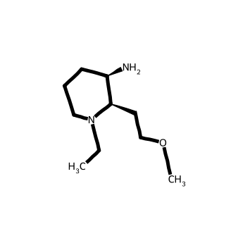 CCN1CCC[C@@H](N)[C@H]1CCOC